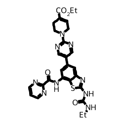 CCNC(=O)Nc1nc2cc(-c3cnc(N4CC=C(C(=O)OCC)CC4)nc3)cc(NC(=O)c3ncccn3)c2s1